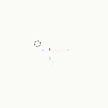 CCCCCCCCCCCCCCNC(=O)[C@H](CCCCN)NCc1ccccc1